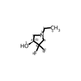 CCN1C[C@H](O)C(F)(F)C1